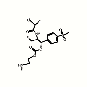 CNCCOC(=O)O[C@H](c1ccc(S(C)(=O)=O)cc1)[C@@H](CF)NC(=O)C(Cl)Cl